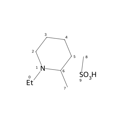 CCN1CCCCC1C.CS(=O)(=O)O